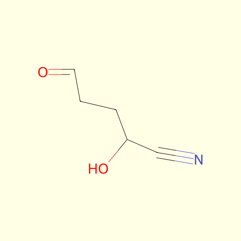 N#CC(O)CCC=O